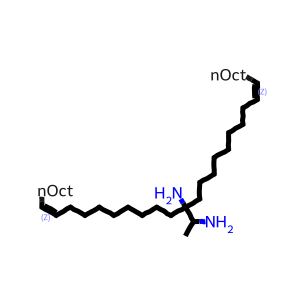 CCCCCCCC/C=C\CCCCCCCCC(N)(CCCCCCCC/C=C\CCCCCCCC)C(C)N